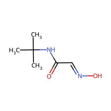 CC(C)(C)NC(=O)C=NO